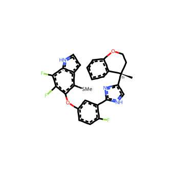 CSc1c(Oc2ccc(F)c(-c3nc([C@@]4(C)CCOc5ccccc54)c[nH]3)c2)c(F)c(F)c2[nH]ccc12